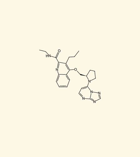 CCCc1c(C(=O)NCC)nc2ccccc2c1OC[C@H]1CCCN1c1ccnc2ncnn12